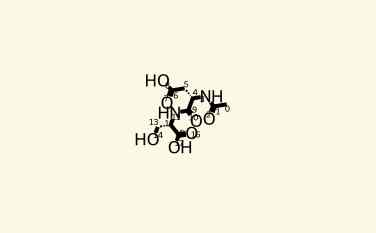 CC(=O)N[C@@H](CC(=O)O)C(=O)N[C@@H](CO)C(=O)O